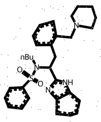 CCCCN(C(Cc1ccccc1CN1CCCCC1)c1nc2ccccc2[nH]1)S(=O)(=O)c1ccccc1